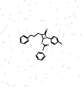 CC(=O)OC1C(CCCc2ccccc2)C(=O)N1c1ccc(F)cc1.c1ccccc1